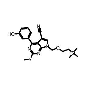 CSc1nc(-c2cccc(O)c2)c2c(C#N)cn(COCC[Si](C)(C)C)c2n1